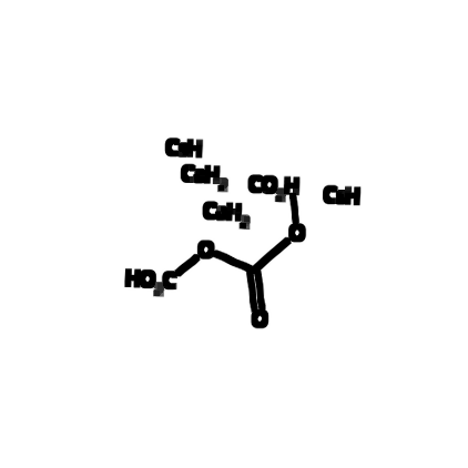 O=C(O)OC(=O)OC(=O)O.[CaH2].[CaH2].[CsH].[CsH]